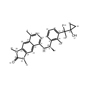 Cc1nnc(N[C@H](C)c2cccc(C(F)(F)C3(O)CC3)c2F)c2cc3c(cc12)n(C)c(=O)n3C